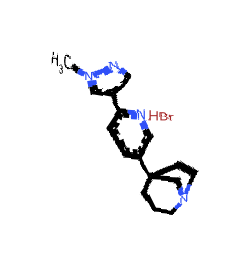 Br.Cn1cc(-c2ccc(C34CCCN(CC3)C4)cn2)cn1